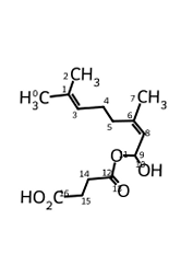 CC(C)=CCC/C(C)=C\C(O)OC(=O)CCC(=O)O